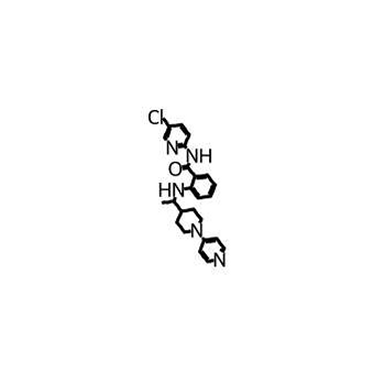 CC(Nc1ccccc1C(=O)Nc1ccc(Cl)cn1)C1CCN(c2ccncc2)CC1